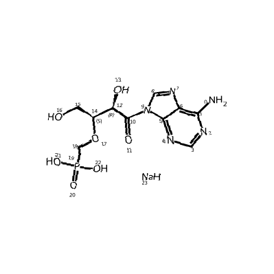 Nc1ncnc2c1ncn2C(=O)[C@H](O)[C@H](CO)OCP(=O)(O)O.[NaH]